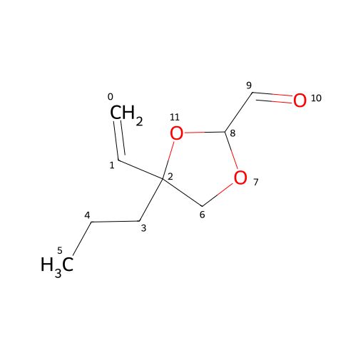 C=CC1(CCC)COC(C=O)O1